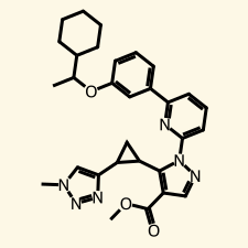 COC(=O)c1cnn(-c2cccc(-c3cccc(OC(C)C4CCCCC4)c3)n2)c1C1CC1c1cn(C)nn1